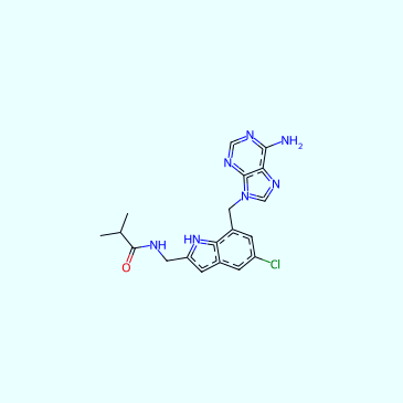 CC(C)C(=O)NCc1cc2cc(Cl)cc(Cn3cnc4c(N)ncnc43)c2[nH]1